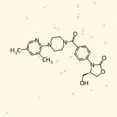 Cc1cnc(N2CCN(C(=O)c3ccc(N4C(=O)OC[C@H]4CO)cc3)CC2)c(C)c1